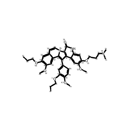 CCCOc1cc(-c2c3c4cc(OC)c(OCCCN(C)C)cc4[nH]c(=O)c3n3ccc4cc(OCCC)c(OC)cc4c23)ccc1OC